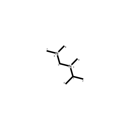 CC(C)N(C)CN(C)C